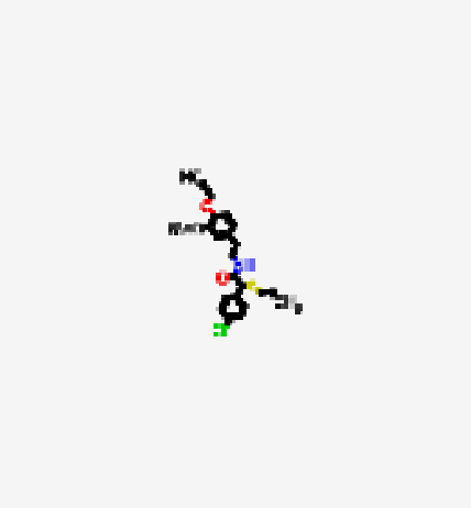 C#CCOc1ccc(CCNC(=O)C(SCC=C)c2ccc(Cl)cc2)cc1OC